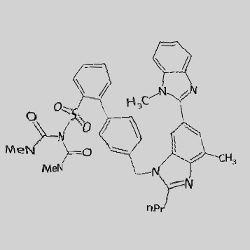 CCCc1nc2c(C)cc(-c3nc4ccccc4n3C)cc2n1Cc1ccc(-c2ccccc2S(=O)(=O)N(C(=O)NC)C(=O)NC)cc1